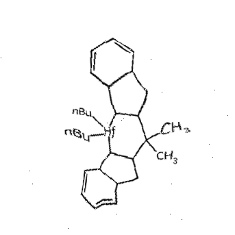 CCC[CH2][Hf]1([CH2]CCC)[CH]2C3C=CC=CC3CC2C(C)(C)C2CC3C=CC=CC3[CH]21